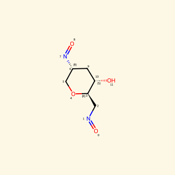 O=NC[C@H]1OC[C@H](N=O)C[C@@H]1O